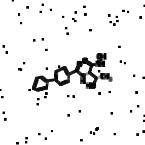 C[C@H](O)[C@H](NC(=O)c1ccc(-c2ccccc2)cc1)C(=O)NO